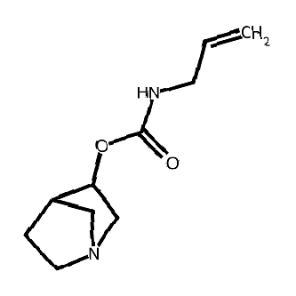 C=CCNC(=O)OC1CN2CCC1C2